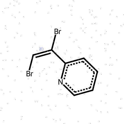 Br/C=C(/Br)c1ccccn1